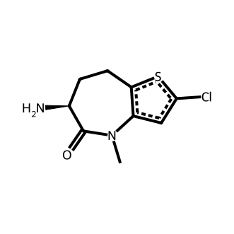 CN1C(=O)[C@@H](N)CCc2sc(Cl)cc21